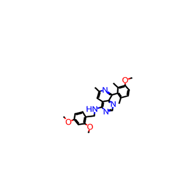 COc1ccc(CNc2ncnc3c(-c4c(C)ccc(OC)c4C)nc(C)cc23)c(OC)c1